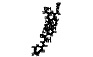 C[C@]12CC[C@H]3[C@@H](CCC4C(C=C=C=O)CC(=CO)C[C@@]43C)[C@@H]1CC[C@@H]2C(=O)NCCc1ccccc1